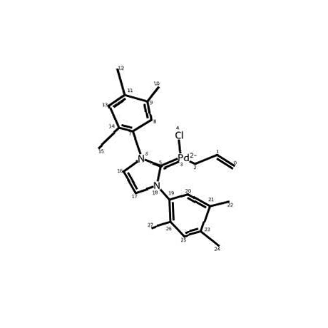 C=C[CH2][Pd-2]([Cl])=[c]1n(-c2cc(C)c(C)cc2C)ccn1-c1cc(C)c(C)cc1C